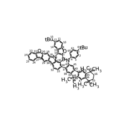 CC(C)(C)c1ccc(N2B3c4oc5ccc(C(C)(C)C)cc5c4-n4c5cc6oc7ccccc7c6cc5c5ccc(c3c54)-c3cc4c(cc32)-c2cc3c(cc2C4(C)C)C(C)(C)CCC3(C)C)cc1